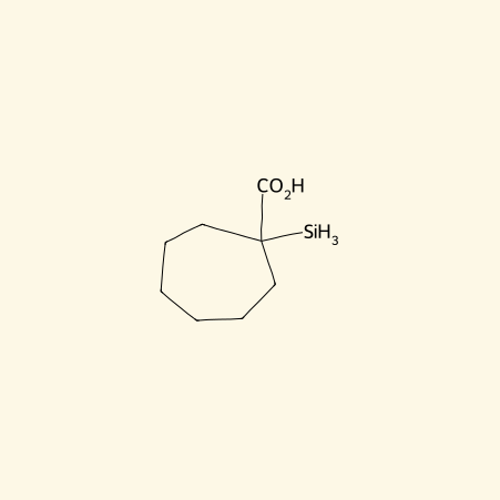 O=C(O)C1([SiH3])CCCCCC1